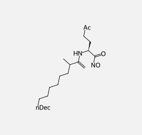 C=C(N[C@@H](CCC(C)=O)C(=O)N=O)C(C)CCCCCCCCCCCCCCCC